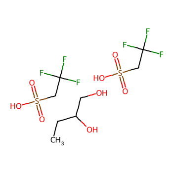 CCC(O)CO.O=S(=O)(O)CC(F)(F)F.O=S(=O)(O)CC(F)(F)F